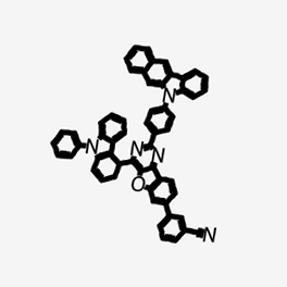 N#Cc1cccc(-c2ccc3c(c2)oc2c(C4CC=Cc5c4c4ccccc4n5-c4ccccc4)nc(-c4ccc(-n5c6ccccc6c6cc7ccccc7cc65)cc4)nc23)c1